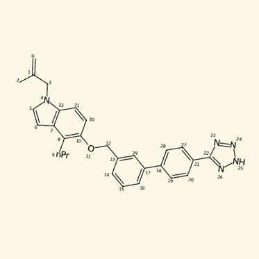 C=C(C)Cn1ccc2c(CCC)c(OCc3cccc(-c4ccc(-c5nn[nH]n5)cc4)c3)ccc21